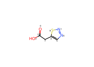 O=C(O)Cc1cnns1